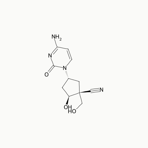 N#C[C@]1(CO)C[C@@H](n2ccc(N)nc2=O)C[C@@H]1O